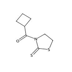 O=C(C1CCC1)N1CCSC1=S